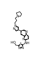 OCc1nnc(Nc2ccc3ncc(-c4cnn(CCCN5CCCC5)c4)cc3n2)s1